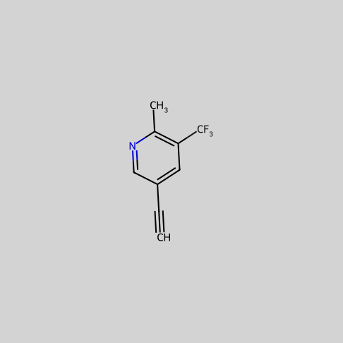 C#Cc1cnc(C)c(C(F)(F)F)c1